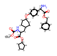 CC(C)(C)OC(=O)NC(CC1CCC(Oc2ccc(C(N)C(=O)OCc3ccccc3)cc2)CC1)C(=O)OC1CCCC1